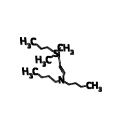 CCCCN(C=CC[Si](C)(C)CCC)CCCC